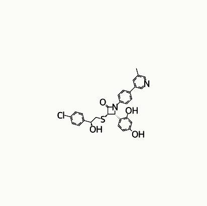 Cc1cncc(-c2ccc(N3C(=O)[C@H](SC[C@@H](O)c4ccc(Cl)cc4)[C@H]3c3ccc(O)cc3O)cc2)c1